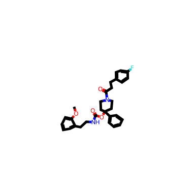 COc1ccccc1CCNC(=O)OC1(c2ccccc2)CCN(C(=O)CCc2ccc(F)cc2)CC1